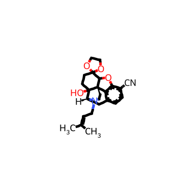 CC(C)=CCN1CC[C@]23c4c5ccc(C#N)c4OC2C2(CCC3(O)[C@H]1C5)OCCO2